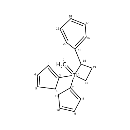 [CH2]=[Ti]1([C]2=CC=CC2)([C]2=CC=CC2)[CH2]C[CH]1c1ccccc1